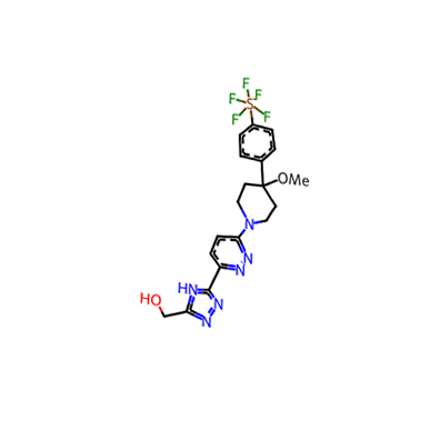 COC1(c2ccc(S(F)(F)(F)(F)F)cc2)CCN(c2ccc(-c3nnc(CO)[nH]3)nn2)CC1